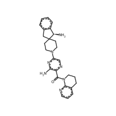 Nc1nc(N2CCC3(CC2)Cc2ccccc2[C@H]3N)cnc1C(=O)N1CCCc2cccnc21